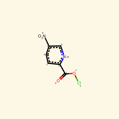 O=C(OCl)c1ccc([N+](=O)[O-])cn1